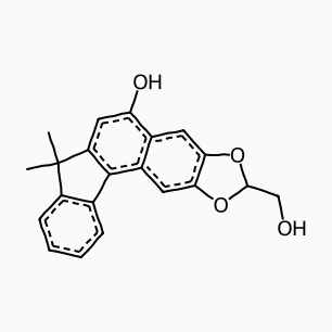 CC1(C)c2ccccc2-c2c1cc(O)c1cc3c(cc21)OC(CO)O3